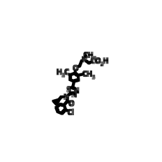 Cc1cc(-c2nnc(N(CC3CC3)C(=O)c3ccccc3Cl)s2)cc(C)c1OCCN(C)CC(=O)O